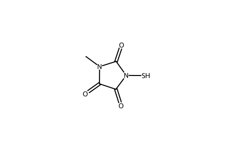 CN1C(=O)C(=O)N(S)C1=O